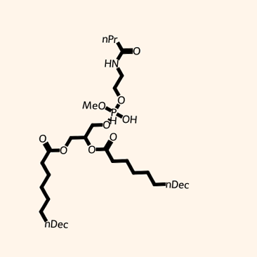 CCCCCCCCCCCCCCCC(=O)OCC(CO[PH](O)(OC)OCCNC(=O)CCC)OC(=O)CCCCCCCCCCCCCCC